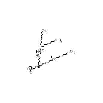 CCCCCCCCCOC(=O)CCCCCCCN(CCCCNCNC(=O)OC(CCCCCCCC)CCCCCCCCC)NCCN1CCOC1=O